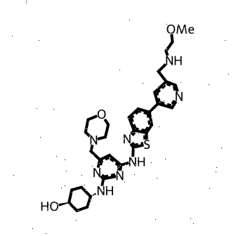 COCCNCc1cncc(-c2ccc3nc(Nc4cc(CN5CCOCC5)nc(N[C@H]5CC[C@H](O)CC5)n4)sc3c2)c1